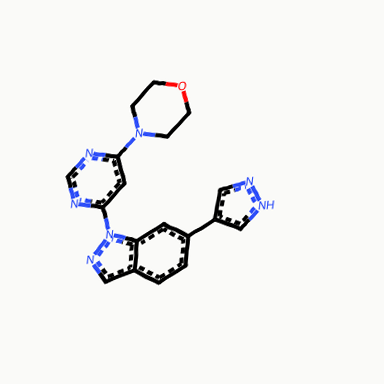 c1nc(N2CCOCC2)cc(-n2ncc3ccc(-c4cn[nH]c4)cc32)n1